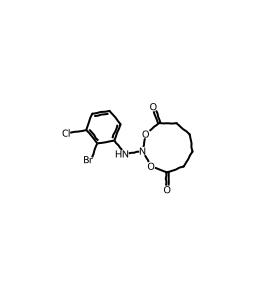 O=C1CCCCC(=O)ON(Nc2cccc(Cl)c2Br)O1